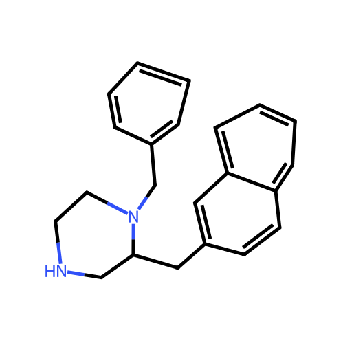 c1ccc(CN2CCNCC2Cc2ccc3ccccc3c2)cc1